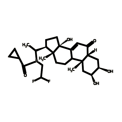 CC([C@H]1CC[C@@]2(O)C3=CC(=O)[C@@H]4C[C@@H](O)[C@@H](O)C[C@]4(C)C3CC[C@]12C)N(CC(F)F)C(=O)C1CC1